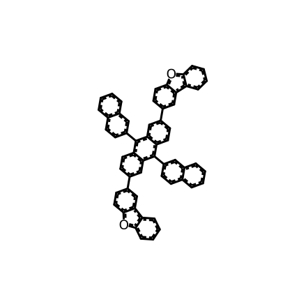 c1ccc2cc(-c3c4ccc(-c5ccc6oc7ccccc7c6c5)cc4c(-c4ccc5ccccc5c4)c4ccc(-c5ccc6oc7ccccc7c6c5)cc34)ccc2c1